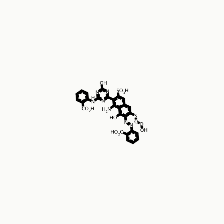 Nc1c(-c2nc(O)nc(Nc3ccccc3C(=O)O)n2)c(S(=O)(=O)O)cc2cc(SOOO)c(/N=N/c3ccccc3C(=O)O)c(O)c12